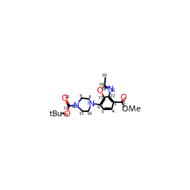 COC(=O)c1ccc(N2CCN(C(=O)OC(C)(C)C)CC2)c2oc(C)nc12